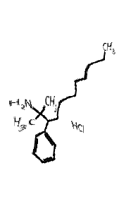 CCCCCCCCC(c1ccccc1)C(C)(C)N.Cl